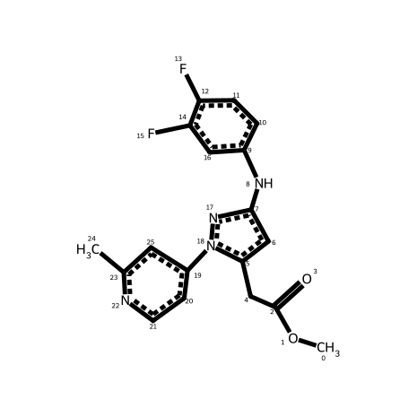 COC(=O)Cc1cc(Nc2ccc(F)c(F)c2)nn1-c1ccnc(C)c1